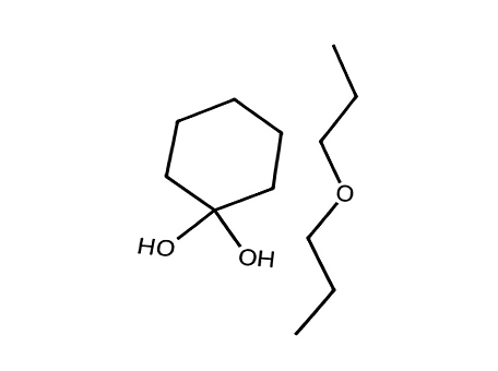 CCCOCCC.OC1(O)CCCCC1